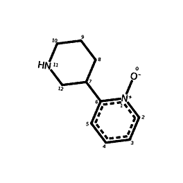 [O-][n+]1ccccc1C1CCCNC1